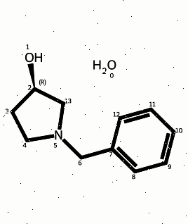 O.O[C@@H]1CCN(Cc2ccccc2)C1